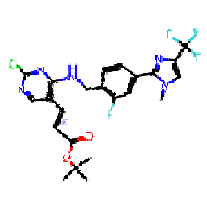 Cn1cc(C(F)(F)F)nc1-c1ccc(CNc2nc(Cl)ncc2/C=C/C(=O)OC(C)(C)C)c(F)c1